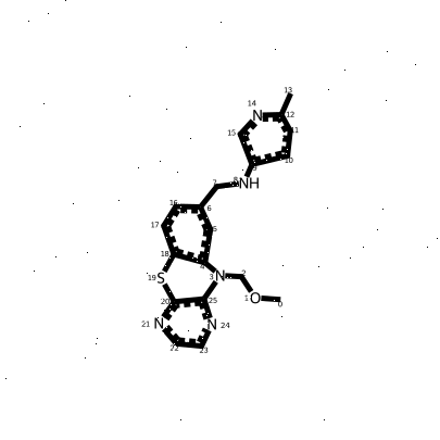 COCN1c2cc(CNc3ccc(C)nc3)ccc2Sc2nccnc21